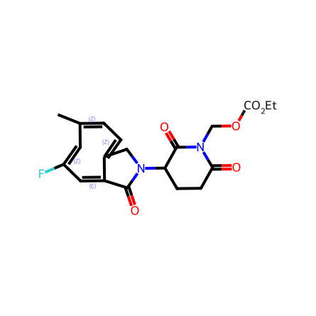 CCOC(=O)OCN1C(=O)CCC(N2CC3=C\C=C(C)/C=C(F)/C=C\3C2=O)C1=O